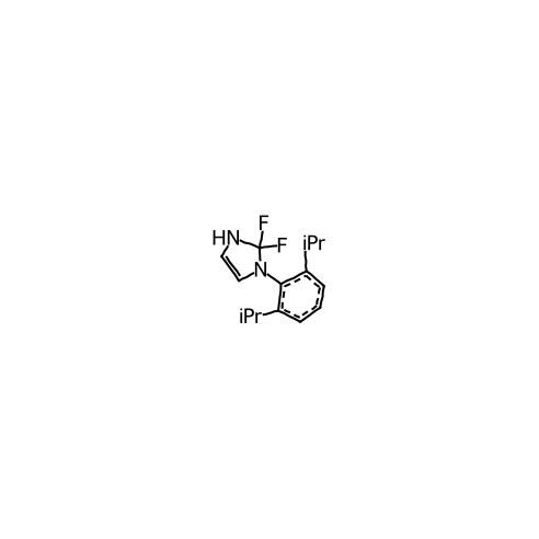 CC(C)c1cccc(C(C)C)c1N1C=CNC1(F)F